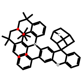 CC1(C)CCC(C)(C)c2c(N(c3cc4c(cc3-c3ccccc3)Oc3ccccc3C43C4CC5CC6CC3C64C5)c3cccc4c3C(C)(C)CCC4(C)C)cccc21